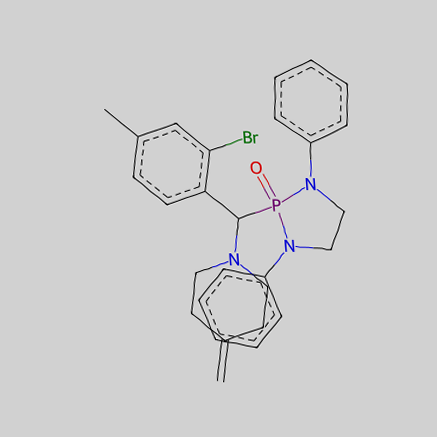 C=C1CCN(C(c2ccc(C)cc2Br)P2(=O)N(c3ccccc3)CCN2c2ccccc2)CC1